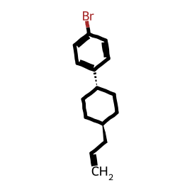 C=CC[C@H]1CC[C@H](c2ccc(Br)cc2)CC1